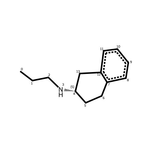 CCCN[C@H]1CCc2c[c]ccc2C1